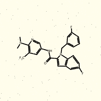 CN(C)c1ncc(NC(=O)c2cc3cc(F)ccc3n2Cc2cccc(F)c2)cc1C(F)(F)F